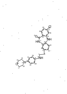 O=C1Nc2cc(CCNc3ccc(N4CCOCC4)cc3)ccc2Nc2cc(Cl)ccc21